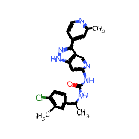 Cc1cc(-c2n[nH]c3cc(NC(=O)N[C@@H](C)c4ccc(Cl)c(C)c4)ncc23)ccn1